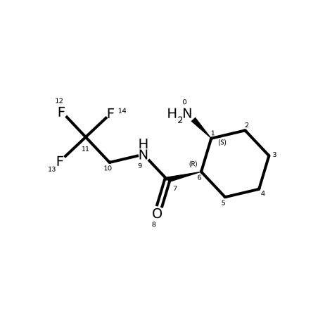 N[C@H]1CCCC[C@H]1C(=O)NCC(F)(F)F